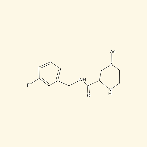 CC(=O)N1CCNC(C(=O)NCc2cccc(F)c2)C1